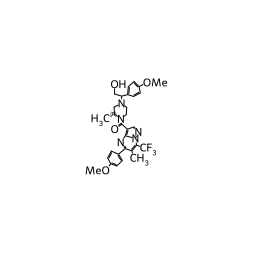 COc1ccc(-c2nc3c(C(=O)N4CCN(C(CO)c5ccc(OC)cc5)C[C@H]4C)cnn3c(C(F)(F)F)c2C)cc1